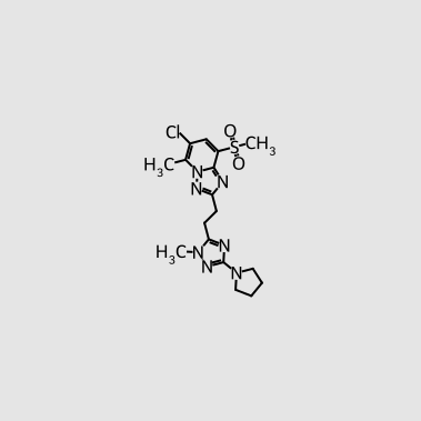 Cc1c(Cl)cc(S(C)(=O)=O)c2nc(CCc3nc(N4CCCC4)nn3C)nn12